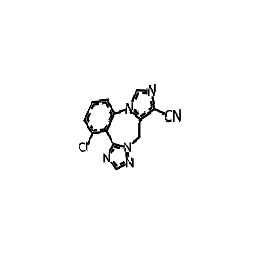 N#Cc1ncn2c1Cn1ncnc1-c1c(Cl)cccc1-2